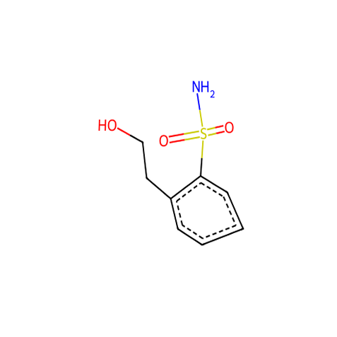 NS(=O)(=O)c1ccccc1CCO